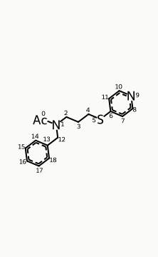 CC(=O)N(CCCSc1ccncc1)Cc1ccccc1